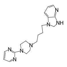 c1cnc(N2CCN(CCCCN3CNc4ncccc43)CC2)nc1